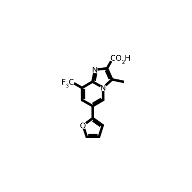 Cc1c(C(=O)O)nc2c(C(F)(F)F)cc(-c3ccco3)cn12